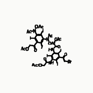 CC(=O)OCC(=O)Nc1c(I)c(NC(=O)COC(C)=O)c(I)c(C(=O)CBr)c1I.CC(=O)OCC(=O)c1c(I)c(N(OC(C)=O)C(C)=O)c(I)c(N(OC(C)=O)C(C)=O)c1I